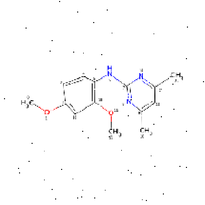 COc1ccc(Nc2nc(C)cc(C)n2)c(OC)c1